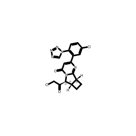 O=C(CCl)[C@@H]1[C@H]2CC[C@H]2c2nc(-c3cc(Cl)ccc3-n3cnnn3)cc(=O)n21